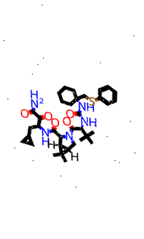 CC(C)(C)[C@H](NC(=O)NC1(CSc2ccccc2)CCCCC1)C(=O)N1C[C@H]2[C@@H](C1C(=O)NC(CC1CC1)C(=O)C(N)=O)C2(C)C